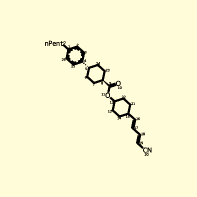 CCCCCc1ccc([C@H]2CC[C@H](C(=O)OC3CCC(/C=C/C=CC#N)CC3)CC2)cc1